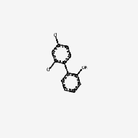 Oc1ccc[c]c1-c1ccc(Cl)cc1Cl